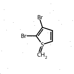 C=S1C=CC(Br)=C1Br